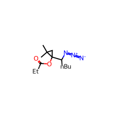 CCCCC(N=[N+]=[N-])C1(OC(=O)CC)CC1(C)C